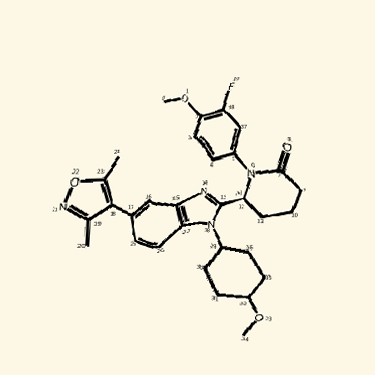 COc1ccc(N2C(=O)CCC[C@H]2c2nc3cc(-c4c(C)noc4C)ccc3n2C2CCC(OC)CC2)cc1F